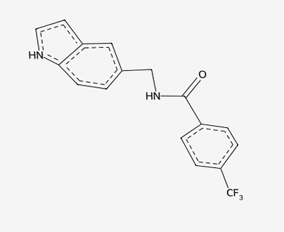 O=C(NCc1ccc2[nH]ccc2c1)c1ccc(C(F)(F)F)cc1